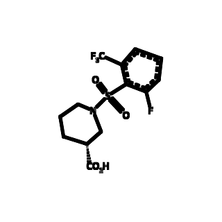 O=C(O)[C@@H]1CCCN(S(=O)(=O)c2c(F)cccc2C(F)(F)F)C1